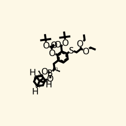 CCOC(CSc1ccc(C[C@@H](C)B2O[C@@H]3C[C@@H]4C[C@@H](C4(C)C)[C@]3(C)O2)c(OC(=O)OC(C)(C)C)c1C(=O)OC(C)(C)C)OCC